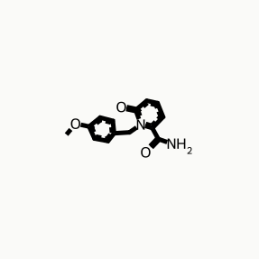 COc1ccc(Cn2c(C(N)=O)cccc2=O)cc1